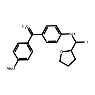 C=C(c1ccc(NC(CC)C2CCCO2)cc1)c1ccc(OC)cc1